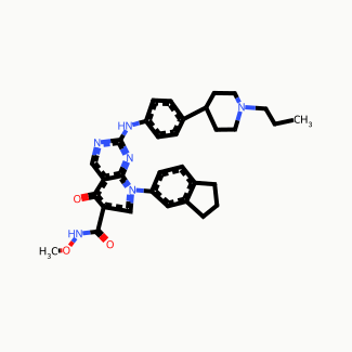 CCCN1CCC(c2ccc(Nc3ncc4c(=O)c(C(=O)NOC)cn(-c5ccc6c(c5)CCC6)c4n3)cc2)CC1